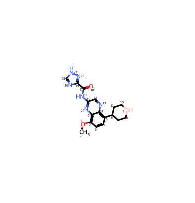 COc1ccc(C2CCBCC2)c2ncc(NC(=O)c3nc[nH]n3)nc12